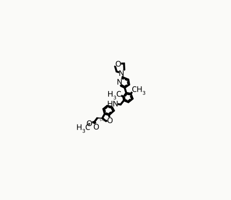 COC(=O)C[C@@H]1COc2cc(NCc3ccc(C)c(-c4ccc(N5CCOCC5)nc4)c3C)ccc21